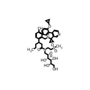 CCCC(CC(=O)N(CCS(C)(=O)=O)C[C@H](O)[C@@H](O)[C@H](O)[C@H](O)CO)c1ccc(C)cc1CNC1(c2cnccc2-c2ccccc2OC2CC2)CC1